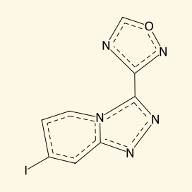 Ic1ccn2c(-c3ncon3)nnc2c1